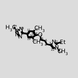 CCc1nc(CCCOc2c(C)cc(-c3nnn(C)n3)cc2C)cn1C